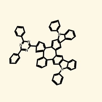 c1ccc(-c2nc(-c3ccccc3)nc(-c3ccc4c(c3)-c3ccccc3-c3cc5c(cc3-c3cc6c7ccccc7n(-c7ccccc7)c6cc3-4)c3ccccc3n5-c3ccccc3)n2)cc1